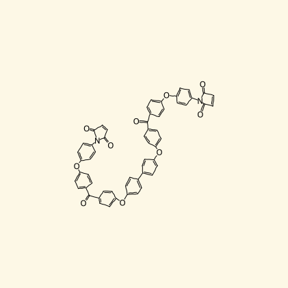 O=C(c1ccc(Oc2ccc(-c3ccc(Oc4ccc(C(=O)c5ccc(Oc6ccc(N7C(=O)C=CC7=O)cc6)cc5)cc4)cc3)cc2)cc1)c1ccc(Oc2ccc(N3C(=O)C=CC3=O)cc2)cc1